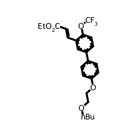 CCCCOCCOc1ccc(-c2ccc(OC(F)(F)F)c(/C=C/C(=O)OCC)c2)cc1